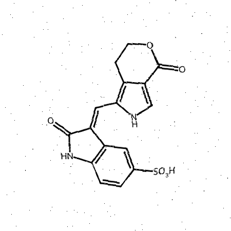 O=C1Nc2ccc(S(=O)(=O)O)cc2C1=Cc1[nH]cc2c1CCOC2=O